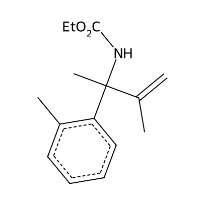 C=C(C)C(C)(NC(=O)OCC)c1ccccc1C